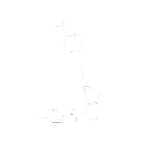 Cc1ccc(S(=O)(=O)N2CCSc3ccc(OCCCN4CCC(N(C)C)CC4)cc32)cc1